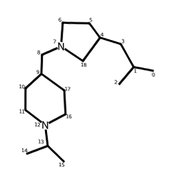 CC(C)CC1CCN(CC2CCN(C(C)C)CC2)C1